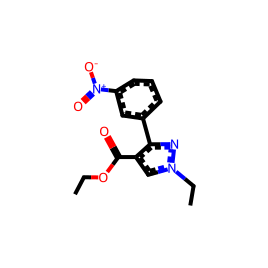 CCOC(=O)c1cn(CC)nc1-c1cccc([N+](=O)[O-])c1